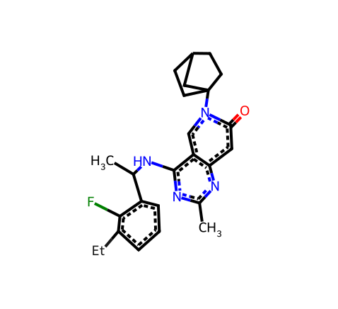 CCc1cccc(C(C)Nc2nc(C)nc3cc(=O)n(C45CCC(CC4)C5)cc23)c1F